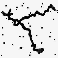 CC(C)(C)[Si](C)(C)OC1CCC(CCCCCCCCC=O)(CCCCCCCCC=O)C1